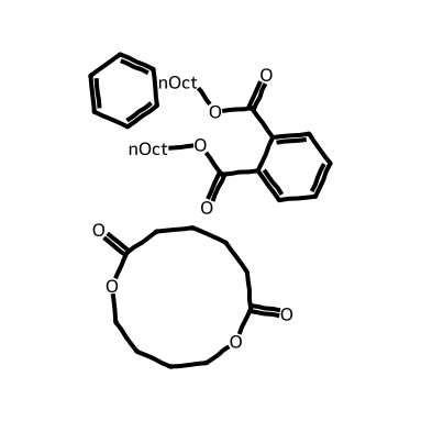 CCCCCCCCOC(=O)c1ccccc1C(=O)OCCCCCCCC.O=C1CCCCC(=O)OCCCCO1.c1ccccc1